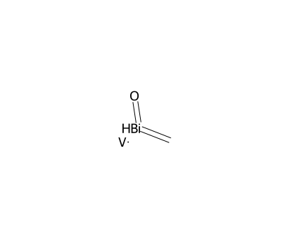 [CH2]=[BiH]=[O].[V]